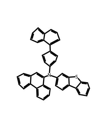 c1ccc2c(-c3ccc(N(c4ccc5c(c4)sc4ccccc45)c4cc5ccccc5c5ccccc45)cc3)cccc2c1